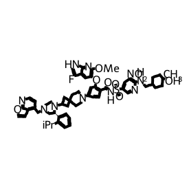 COc1nc2[nH]cc(F)c2cc1Oc1cc(N2CCC3(CC2)CC(N2CCN(Cc4ccnc5occc45)C[C@H]2c2ccccc2C(C)C)C3)ccc1C(=O)NS(=O)(=O)c1cnc(NCC2CCC(C)(O)CC2)c([N+](=O)[O-])c1